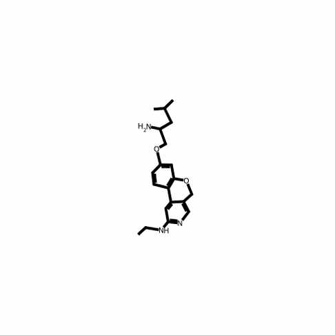 CCNc1cc2c(cn1)COc1cc(OCC(N)CC(C)C)ccc1-2